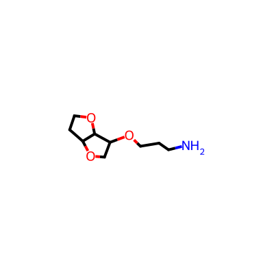 NCCCOC1COC2CCOC21